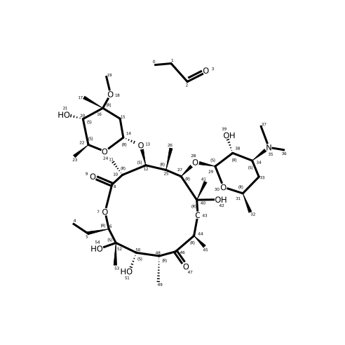 CCC=O.CC[C@H]1OC(=O)[C@H](C)[C@@H](O[C@H]2C[C@@](C)(OC)[C@@H](O)[C@H](C)O2)[C@@H](C)[C@@H](O[C@@H]2O[C@H](C)C[C@H](N(C)C)[C@H]2O)[C@](C)(O)C[C@@H](C)C(=O)[C@H](C)[C@H](O)[C@]1(C)O